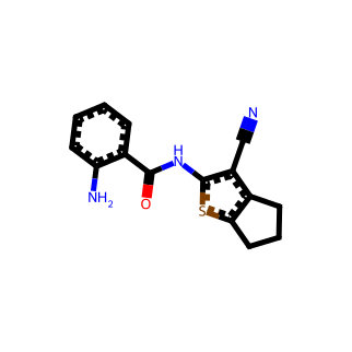 N#Cc1c(NC(=O)c2ccccc2N)sc2c1CCC2